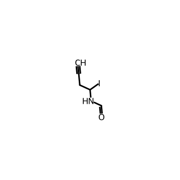 C#CCC(I)NC=O